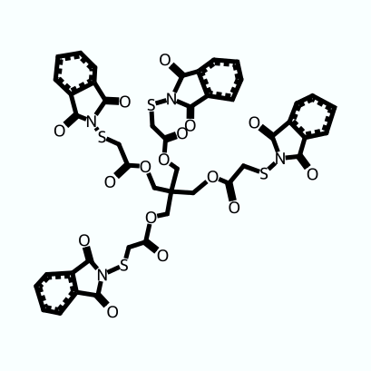 O=C(CSN1C(=O)c2ccccc2C1=O)OCC(COC(=O)CSN1C(=O)c2ccccc2C1=O)(COC(=O)CSN1C(=O)c2ccccc2C1=O)COC(=O)CSN1C(=O)c2ccccc2C1=O